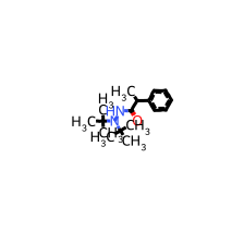 CC(C(=O)NN(C(C)(C)C)C(C)(C)C)c1ccccc1